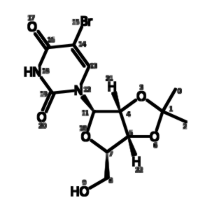 CC1(C)O[C@@H]2[C@H](O1)[C@@H](CO)O[C@H]2n1cc(Br)c(=O)[nH]c1=O